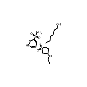 CCNC1C[C@@H](CCCCCCO)S(=O)(=O)C1.NS(=O)(=O)C1=CC=CNS1